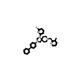 Cc1cccnc1CN1CCC2(CC1)CN(c1ccc(-c3ccccc3)cc1)CN2c1cccc(F)n1